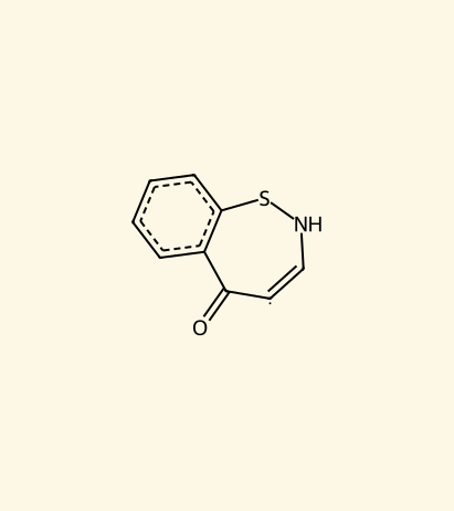 O=C1[C]=CNSc2ccccc21